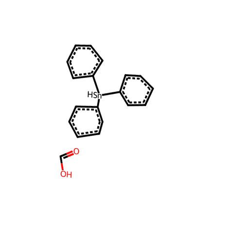 O=CO.c1cc[c]([SnH]([c]2ccccc2)[c]2ccccc2)cc1